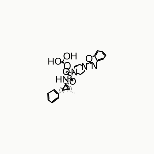 C[C@H]1[C@H](NS(=O)(=O)N2CCN(c3nc4ccccc4o3)CC2)[C@H]1c1ccccc1.O=C(O)O